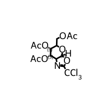 CC(=O)OCC1O[C@@H]2OC(C(Cl)(Cl)Cl)=NC2[C@H](OC(C)=O)[C@@H]1OC(C)=O